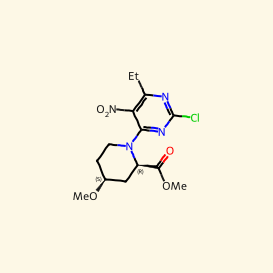 CCc1nc(Cl)nc(N2CC[C@H](OC)C[C@@H]2C(=O)OC)c1[N+](=O)[O-]